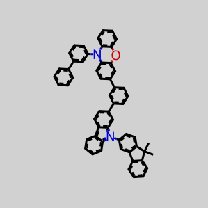 CC1(C)c2ccccc2-c2cc(-n3c4ccccc4c4ccc(-c5cccc(-c6ccc7c(c6)Oc6ccccc6N7c6cccc(-c7ccccc7)c6)c5)cc43)ccc21